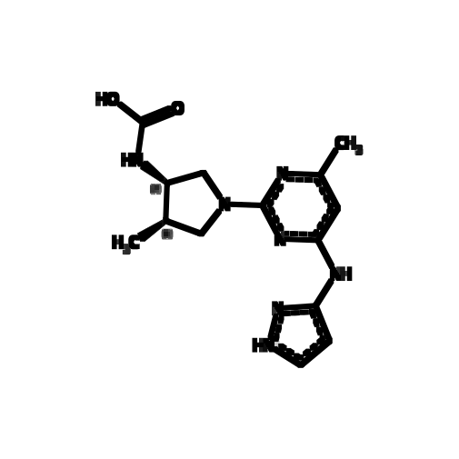 Cc1cc(Nc2cc[nH]n2)nc(N2C[C@@H](C)[C@@H](NC(=O)O)C2)n1